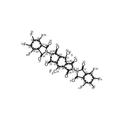 O=C1c2c(F)c(F)c(F)c(F)c2C(=O)N1n1c(=O)c2c(C(F)(F)F)c3c(=O)n(N4C(=O)c5c(F)c(F)c(F)c(F)c5C4=O)c(=O)c3c(C(F)(F)F)c2c1=O